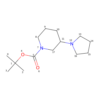 CC(C)(C)OC(=O)N1CCCC(N2CCCC2)C1